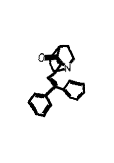 O=C1C2CCN(CC2)C1C=C(c1ccccc1)c1ccccc1